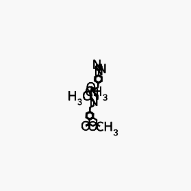 CC1Cc2cc(CCN3CCN(C(=O)Cc4ccc(-n5cncn5)cc4)C(C)(C)C3)ccc2C(=O)O1